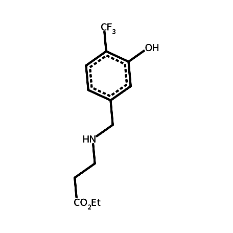 CCOC(=O)CCNCc1ccc(C(F)(F)F)c(O)c1